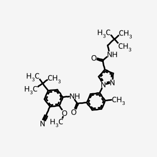 COc1c(C#N)cc(C(C)(C)C)cc1NC(=O)c1ccc(C)c(-n2cc(C(=O)NCC(C)(C)C)cn2)c1